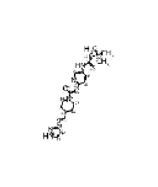 CC(C)(C)NC(=S)Nc1ccc(OC(=O)N2CCC(CSc3nc[nH]n3)CC2)nc1